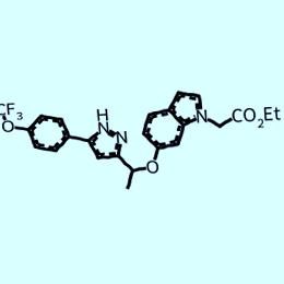 CCOC(=O)Cn1ccc2ccc(OC(C)c3cc(-c4ccc(OC(F)(F)F)cc4)[nH]n3)cc21